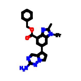 Cc1nc2c(C(=O)OCc3ccccc3)cc(-c3ccn4nc(N)ncc34)cc2n1C(C)C